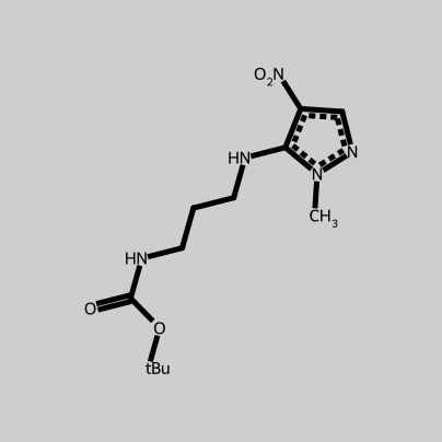 Cn1ncc([N+](=O)[O-])c1NCCCNC(=O)OC(C)(C)C